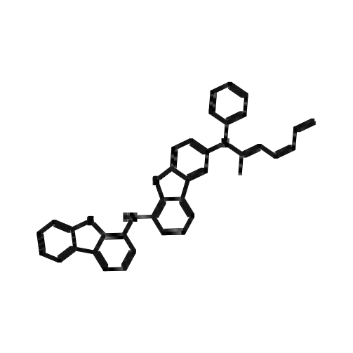 C=C/C=C\C=C(/C)N(c1ccccc1)c1ccc2sc3c(Nc4cccc5c4sc4ccccc45)cccc3c2c1